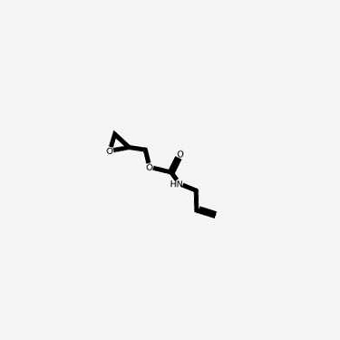 C=CCNC(=O)OCC1CO1